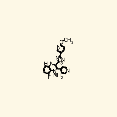 COc1ccc(-c2noc(/C(N)=C(\c3ccncc3)N(N)c3ccccc3F)n2)cn1